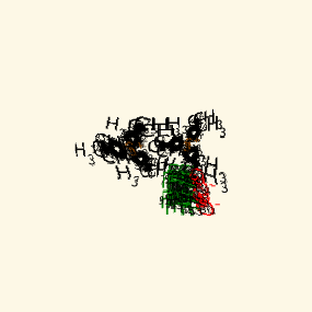 CC(C)(C)c1ccc([S+](c2ccc(C(C)(C)C)cc2)c2ccc(C(C)(C)C)cc2)cc1.CC(C)(C)c1ccc([S+](c2ccc(C(C)(C)C)cc2)c2ccc(C(C)(C)C)cc2)cc1.O=C([O-])C(F)(F)C(F)(F)C(F)(F)C(F)(F)F.O=C([O-])C(F)(F)C(F)(F)C(F)(F)C(F)(F)F